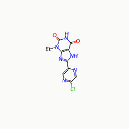 CCn1c(=O)[nH]c(=O)c2[nH]c(-c3cnc(Cl)cn3)nc21